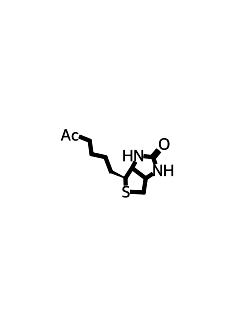 CC(=O)CCCC[C@@H]1SCC2NC(=O)NC21